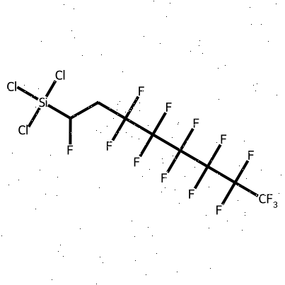 FC(CC(F)(F)C(F)(F)C(F)(F)C(F)(F)C(F)(F)C(F)(F)F)[Si](Cl)(Cl)Cl